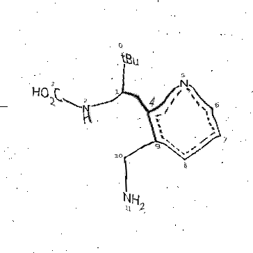 CC(C)(C)C(NC(=O)O)c1ncccc1CN